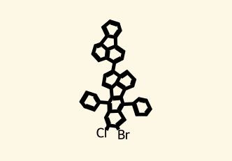 Clc1cc2c(-c3ccccc3)c3c(c(-c4ccccc4)c2cc1Br)-c1cccc2c(-c4ccc5c6c(cccc46)-c4ccccc4-5)ccc-3c12